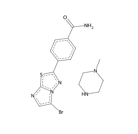 CN1CCNCC1.NC(=O)c1ccc(-c2nn3c(Br)cnc3s2)cc1